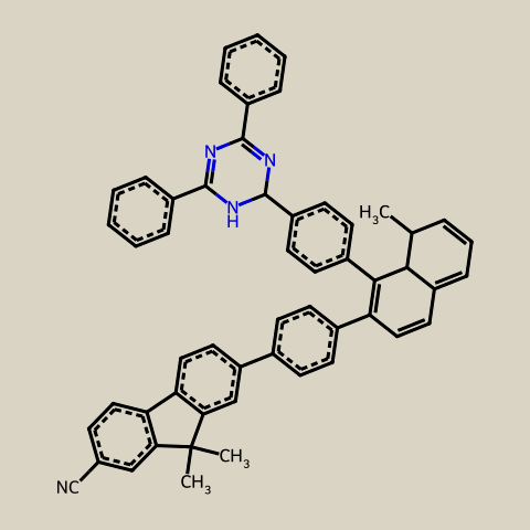 CC1C=CC=C2C=CC(c3ccc(-c4ccc5c(c4)C(C)(C)c4cc(C#N)ccc4-5)cc3)=C(c3ccc(C4N=C(c5ccccc5)N=C(c5ccccc5)N4)cc3)C21